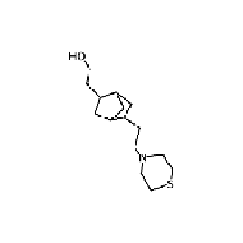 OCCC1CC2CC1CC2CCN1CCSCC1